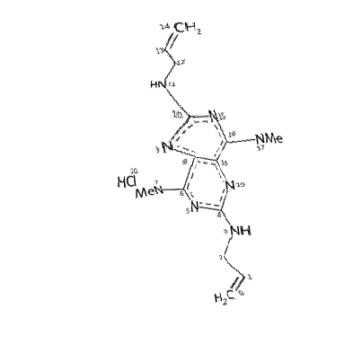 C=CCNc1nc(NC)c2nc(NCC=C)nc(NC)c2n1.Cl